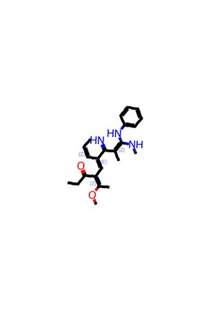 C\C=C/C(=C\C(C(=O)CC)=C(/C)OC)C(=N)/C(C)=C(/NC)Nc1ccccc1